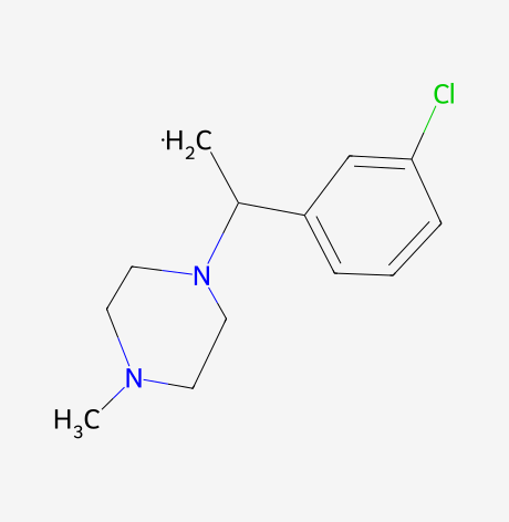 [CH2]C(c1cccc(Cl)c1)N1CCN(C)CC1